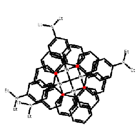 CCN(CC)c1cc[c]([Pb]([c]2ccccc2)([c]2ccccc2)[C]([Pb]([c]2ccccc2)([c]2ccccc2)[c]2ccc(N(CC)CC)cc2)([Pb]([c]2ccccc2)([c]2ccccc2)[c]2ccc(N(CC)CC)cc2)[Pb]([c]2ccccc2)([c]2ccccc2)[c]2ccc(N(CC)CC)cc2)cc1